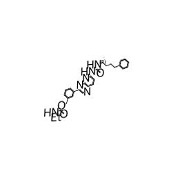 CCNC(=O)OCc1cccc(-c2cnc3ccc(NC(=O)N[C@H](C)CCCc4ccccc4)nc3n2)c1